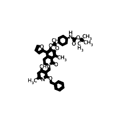 Cc1cc(C)c(CN2CCc3c(c(C)c4c(c3-c3ccco3)OC(C)([C@H]3CC[C@H](NC(=O)OC(C)(C)C)CC3)O4)C2=O)c(OCc2ccccc2)n1